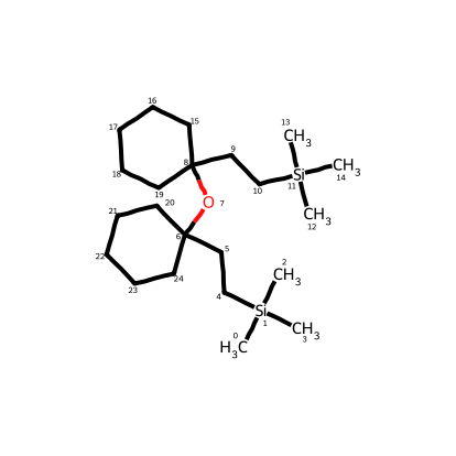 C[Si](C)(C)CCC1(OC2(CC[Si](C)(C)C)CCCCC2)CCCCC1